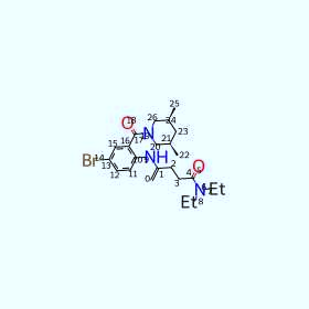 C=C(CCC(=O)N(CC)CC)Nc1ccc(Br)cc1C(=O)N1C[C@H](C)C[C@H](C)C1